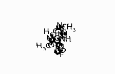 COc1cnc(Cl)cc1-c1cc(-n2cccc(F)c2=O)ncc1C(=O)Nc1nc(-c2c(C)cnn2C)ns1